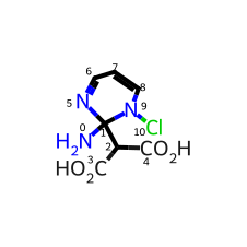 NC1(C(C(=O)O)C(=O)O)N=CC=CN1Cl